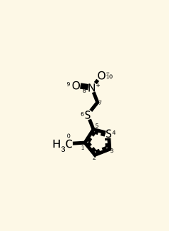 Cc1ccsc1SC[N+](=O)[O-]